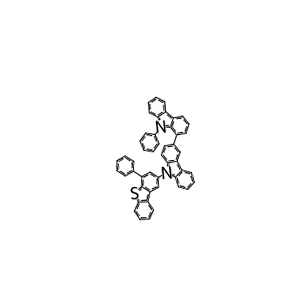 c1ccc(-c2cc(-n3c4ccccc4c4cc(-c5cccc6c7ccccc7n(-c7ccccc7)c56)ccc43)cc3c2sc2ccccc23)cc1